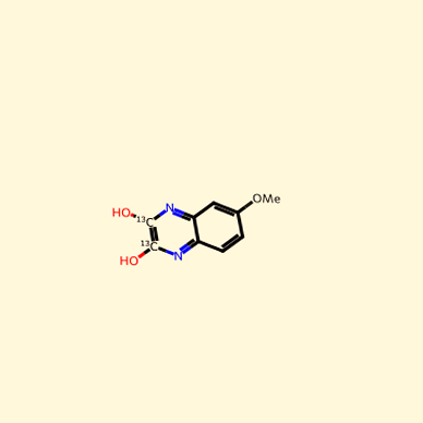 COc1ccc2n[13c](O)[13c](O)nc2c1